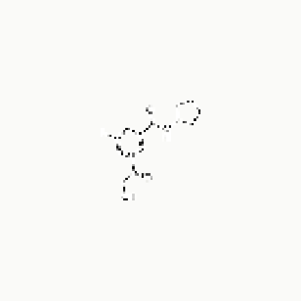 O=C(CO)c1cc(F)cc(C(=O)NC2CCCC2)c1